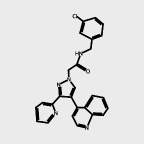 O=C(Cn1cc(-c2ccnc3ccccc23)c(-c2ccccn2)n1)NCc1cccc(Cl)c1